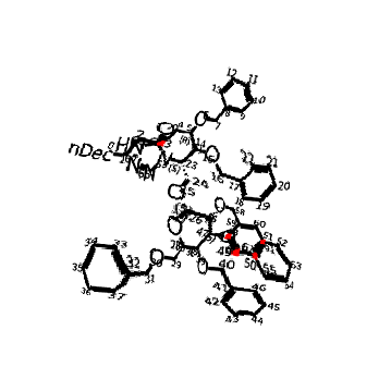 CCCCCCCCCCCCCC[C@@H](OCc1ccccc1)[C@@H](OCc1ccccc1)[C@H](CO[C@H]1O[C@H](COCc2ccccc2)[C@H](OCc2ccccc2)[C@H](OCc2ccccc2)[C@H]1OCc1ccccc1)n1nn[nH]c1=O